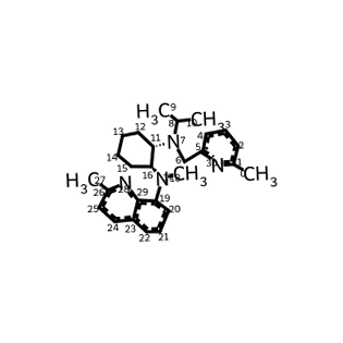 Cc1cccc(CN(C(C)C)[C@H]2CCCC[C@@H]2N(C)c2cccc3ccc(C)nc23)n1